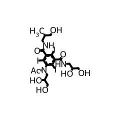 CC(=O)N(CC(O)CO)c1c(I)c(C(=O)NCC(C)CO)c(I)c(C(=O)NCC(O)CO)c1I